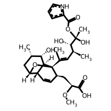 CO[C@@H](C[C@H]1C=C[C@H]2[C@H]3[C@@H](O)[C@@H](C)C[C@@H]2O[C@]31/C(C)=C/[C@H](C)[C@H](O)[C@@](C)(O)OC(=O)c1ccc[nH]1)C(=O)O